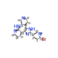 Brc1ccc(-c2nc3c([nH]2)-c2ccncc2Nc2ncccc2-3)cn1